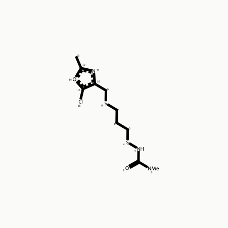 CNC(=O)NSCCCSCc1nc(C)oc1Cl